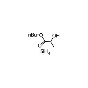 CCCCOC(=O)C(C)O.[SiH4]